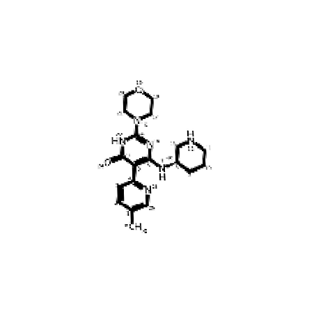 Cc1ccc(-c2c(N[C@@H]3CCCNC3)nc(N3CCOCC3)[nH]c2=O)nc1